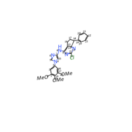 COc1cc(-n2cnc(Nc3nc(Cl)nc4c3CCC4c3ccccc3)c2)cc(OC)c1OC